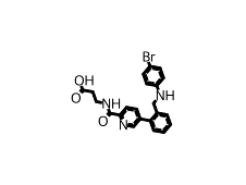 O=C(O)CCNC(=O)c1ccc(-c2ccccc2CNc2ccc(Br)cc2)cn1